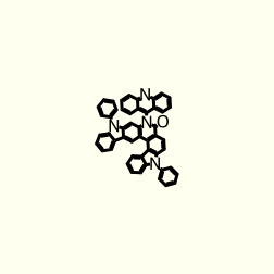 O=c1c2ccc3c(c4ccccc4n3-c3ccccc3)c2c2cc3c4ccccc4n(-c4ccccc4)c3cc2n1-c1c2ccccc2nc2ccccc12